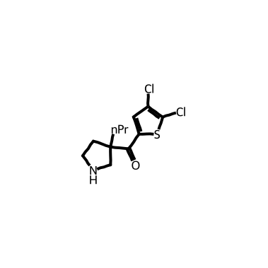 CCCC1(C(=O)c2cc(Cl)c(Cl)s2)CCNC1